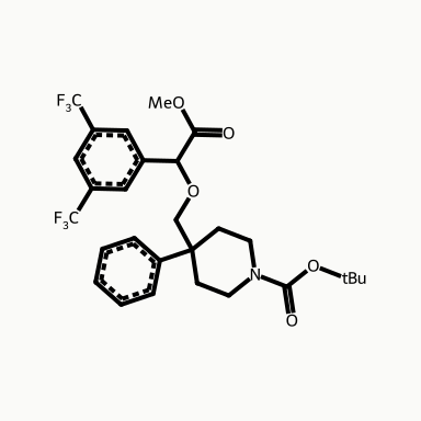 COC(=O)C(OCC1(c2ccccc2)CCN(C(=O)OC(C)(C)C)CC1)c1cc(C(F)(F)F)cc(C(F)(F)F)c1